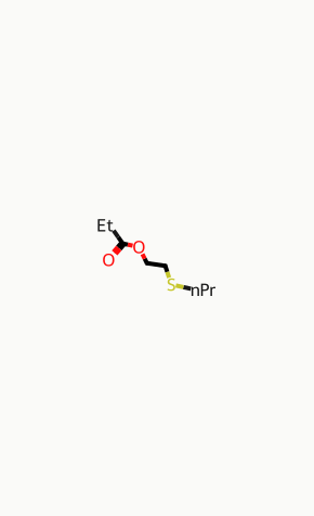 CCCSCCOC(=O)CC